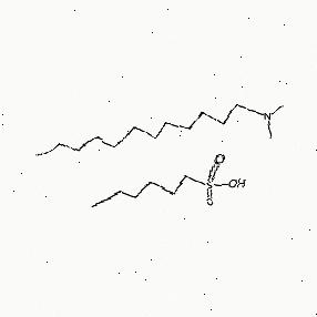 CCCCCCCCCCCCN(C)C.CCCCCCS(=O)(=O)O